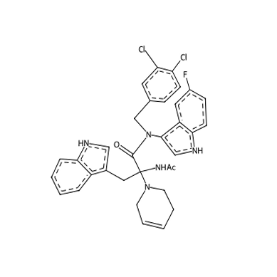 CC(=O)NC(Cc1c[nH]c2ccccc12)(C(=O)N(Cc1ccc(Cl)c(Cl)c1)c1c[nH]c2ccc(F)cc12)N1CC=CCC1